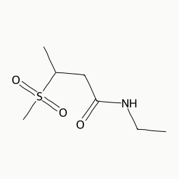 CCNC(=O)CC(C)S(C)(=O)=O